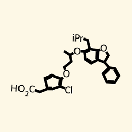 CC(C)Cc1c(OC(C)CCOc2ccc(CC(=O)O)cc2Cl)ccc2c1OCC2c1ccccc1